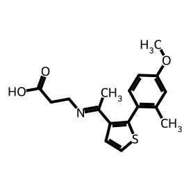 COc1ccc(-c2sccc2/C(C)=N/CCC(=O)O)c(C)c1